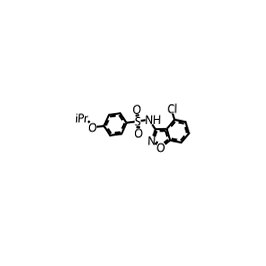 CC(C)Oc1ccc(S(=O)(=O)Nc2noc3cccc(Cl)c23)cc1